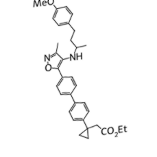 CCOC(=O)CC1(c2ccc(-c3ccc(-c4onc(C)c4NC(C)CCc4ccc(OC)cc4)cc3)cc2)CC1